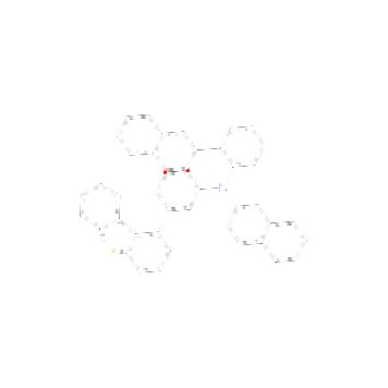 c1cc(-c2cccc3sc4ccccc4c23)cc(N(c2ccc3ccccc3c2)c2ccccc2-c2ccc3ccccc3c2)c1